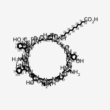 CCCC[C@H]1C(=O)N(C)[C@@H](CCCC)C(=O)NC(CC(C)C)C(=O)N[C@H](C(=O)NCCCCCCCCCCCCC(=O)O)CSCC(=O)N[C@@H](Cc2ccc(O)cc2)C(=O)N(C)[C@@H](C)C(=O)N[C@@H](CC(N)=O)C(=O)N2CCC[C@H]2C(=O)N[C@@H](CN)C(=O)N[C@@H](CC(C)C)C(=O)N2CC(O)C[C@H]2C(=O)N[C@@H](Cc2c[nH]c3ccccc23)C(=O)N[C@@H](CCN)C(=O)N[C@@H](Cc2cn(CC(=O)O)c3ccccc23)C(=O)N1C